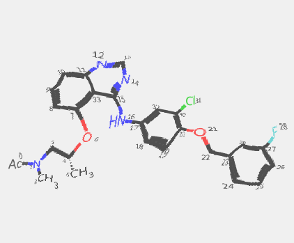 CC(=O)N(C)C[C@@H](C)Oc1cccc2ncnc(Nc3ccc(OCc4cccc(F)c4)c(Cl)c3)c12